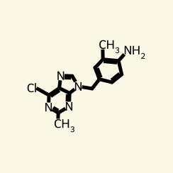 Cc1nc(Cl)c2ncn(Cc3ccc(N)c(C)c3)c2n1